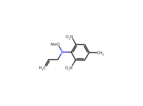 C=CCN(OC)c1c([N+](=O)[O-])cc(C)cc1[N+](=O)[O-]